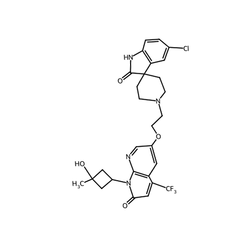 CC1(O)CC(n2c(=O)cc(C(F)(F)F)c3cc(OCCN4CCC5(CC4)C(=O)Nc4ccc(Cl)cc45)cnc32)C1